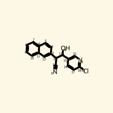 N#CC(c1ccc2ccccc2c1)C(O)c1ccc(Cl)nc1